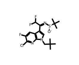 CC(C)(C)Cn1cc(/C(=N\[S@@+]([O-])C(C)(C)C)C(F)F)c2cc(F)c(Cl)nc21